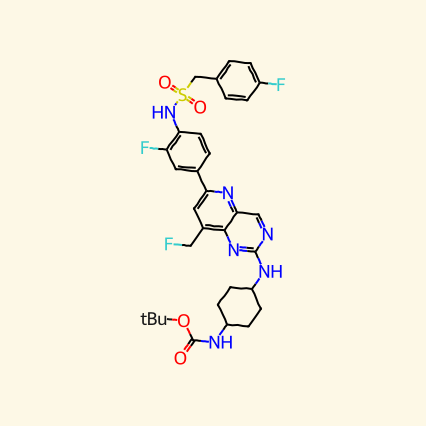 CC(C)(C)OC(=O)NC1CCC(Nc2ncc3nc(-c4ccc(NS(=O)(=O)Cc5ccc(F)cc5)c(F)c4)cc(CF)c3n2)CC1